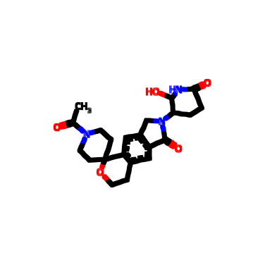 CC(=O)N1CCC2(CC1)OCCc1cc3c(cc12)CN(C1CCC(=O)NC1O)C3=O